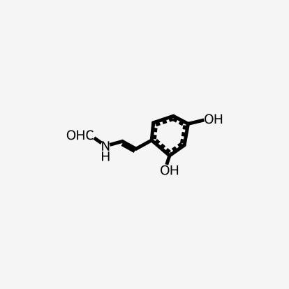 O=CN/C=C/c1ccc(O)cc1O